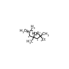 CCC(C)(C)CC(C)(C)CN(C)C